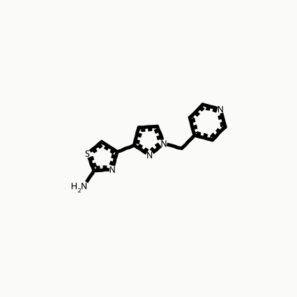 Nc1nc(-c2ccn(Cc3ccncc3)n2)cs1